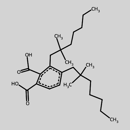 CCCCCC(C)(C)Cc1ccc(C(=O)O)c(C(=O)O)c1CC(C)(C)CCCCC